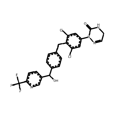 O=C1NCC=NN1c1cc(Cl)c(Cc2ccc(C(O)c3ccc(C(F)(F)F)nc3)cc2)c(Cl)c1